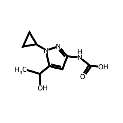 CC(O)c1cc(NC(=O)O)nn1C1CC1